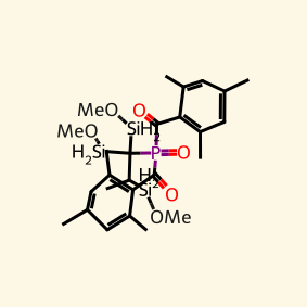 CO[SiH2]C(C)C([SiH2]OC)([SiH2]OC)P(=O)(C(=O)c1c(C)cc(C)cc1C)C(=O)c1c(C)cc(C)cc1C